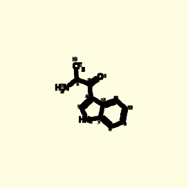 NC(C(=O)c1c[nH]c2ccccc12)C(F)(F)F